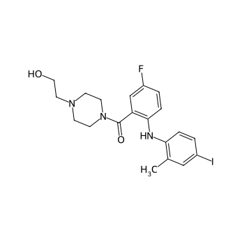 Cc1cc(I)ccc1Nc1ccc(F)cc1C(=O)N1CCN(CCO)CC1